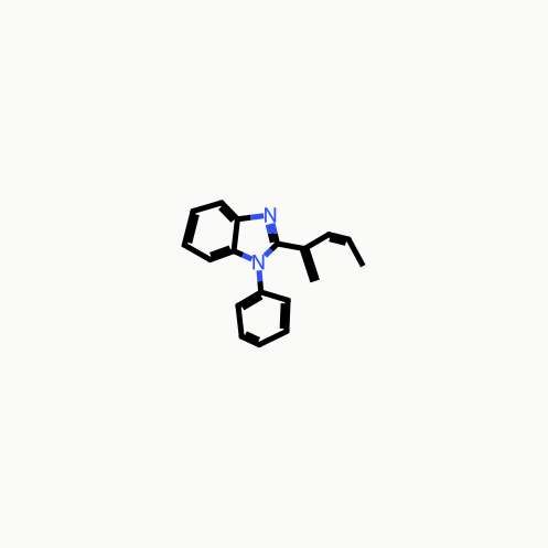 C=C(/C=C\C)c1nc2ccccc2n1-c1ccccc1